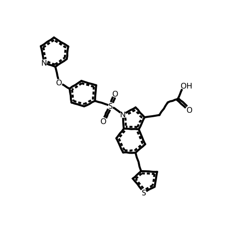 O=C(O)CCc1cn(S(=O)(=O)c2ccc(Oc3ccccn3)cc2)c2ccc(-c3ccsc3)cc12